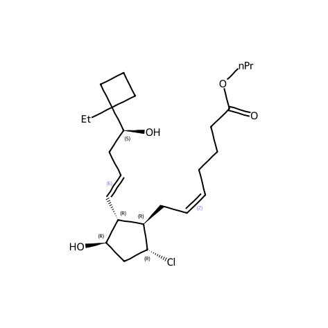 [CH2]CCOC(=O)CCC/C=C\C[C@@H]1[C@@H](/C=C/C[C@H](O)C2(CC)CCC2)[C@H](O)C[C@H]1Cl